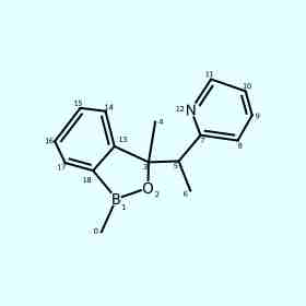 CB1OC(C)(C(C)c2ccccn2)c2ccccc21